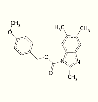 COc1ccc(COC(=O)n2c(C)nc3cc(C)c(C)cc32)cc1